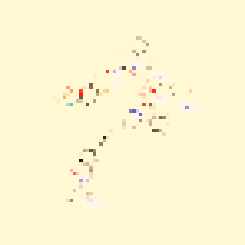 NC(=O)CC[C@H](NC(=O)[C@@H]1Cc2cccc3c2N1C(=O)[C@@H](NC(=O)c1cc2cc(C(F)(F)P(=O)(O)O)ccc2s1)CC3)C(=O)N[C@H](C(=O)N1CCC(CCC#Cc2ccc3c(c2)CN(C(CCC=O)C(N)=O)C3=O)CC1)c1ccccc1